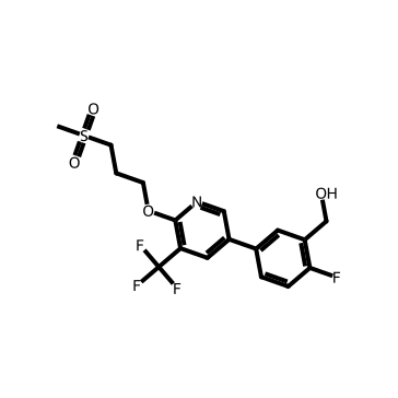 CS(=O)(=O)CCCOc1ncc(-c2ccc(F)c(CO)c2)cc1C(F)(F)F